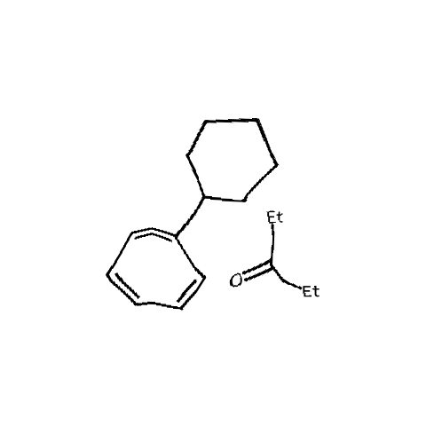 CCC(=O)CC.c1ccc(C2CCCCC2)cc1